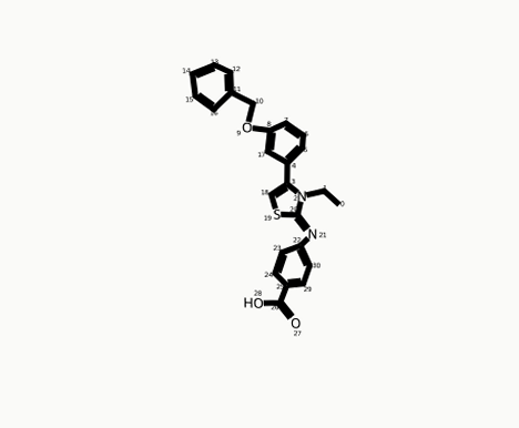 CCn1c(-c2cccc(OCc3ccccc3)c2)csc1=Nc1ccc(C(=O)O)cc1